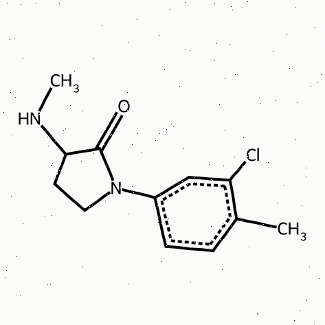 CNC1CCN(c2ccc(C)c(Cl)c2)C1=O